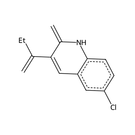 C=C(CC)C1=Cc2cc(Cl)ccc2NC1=C